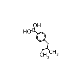 CCC(C)Cc1ccc(B(O)O)cc1